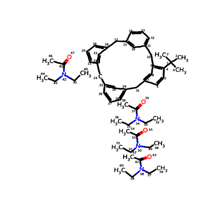 CC(C)(C)c1ccc2cc1Cc1cccc(c1)Cc1cccc(c1)Cc1cccc(c1)C2.CCN(CC)C(C)=O.CCN(CC)C(C)=O.CCN(CC)C(C)=O.CCN(CC)C(C)=O